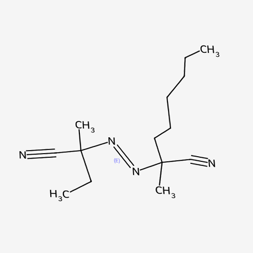 CCCCCCC(C)(C#N)/N=N/C(C)(C#N)CC